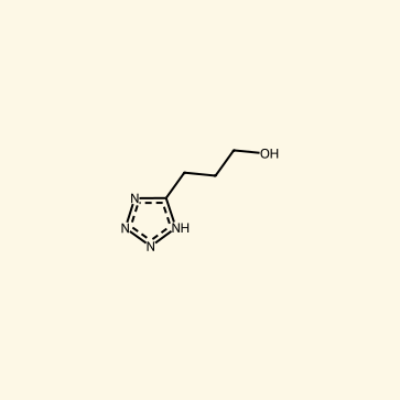 OCCCc1nnn[nH]1